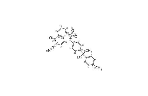 CCC(C)(c1ccc(C)cc1)c1ccc(OS(=O)(=O)c2cccc3c2C=CC(=[N+]=[N-])C3=O)cc1